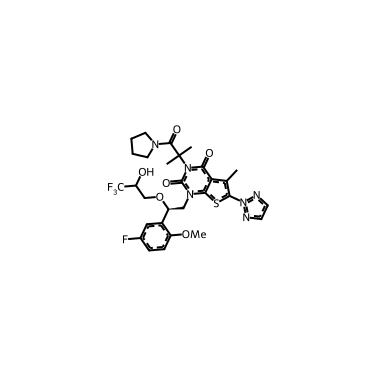 COc1ccc(F)cc1[C@H](Cn1c(=O)n(C(C)(C)C(=O)N2CCCC2)c(=O)c2c(C)c(-n3nccn3)sc21)OCC(O)C(F)(F)F